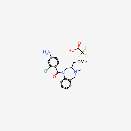 COCC1CN(C(=O)c2ccc(N)cc2Cl)c2ccccc2CN1C.O=C(O)C(F)(F)F